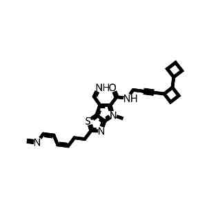 C=N/C=C\C=C/CCc1nc2c(s1)c(C=N)c(C(=O)NCC#CC1CCC1C1CCC1)n2C